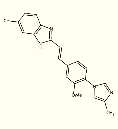 COc1cc(C=Cc2nc3ccc(Cl)cc3[nH]2)ccc1-n1cnc(C)c1